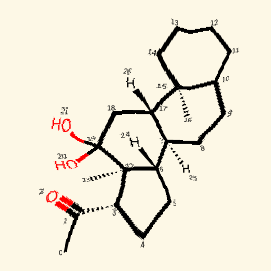 CC(=O)[C@H]1CC[C@H]2[C@@H]3CCC4CCCC[C@]4(C)[C@H]3CC(O)(O)[C@]12C